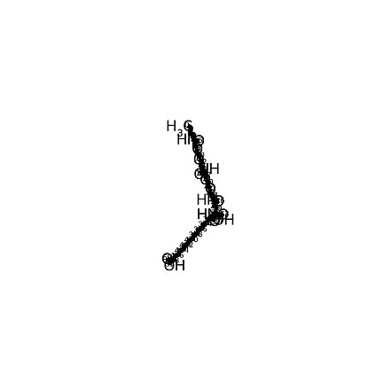 CCCCNC(=O)COCCOCCNC(=O)COCCOCCNC(=O)CC[C@H](NC(=O)CCCCCCCCCCCCCCCCC(=O)O)C(=O)O